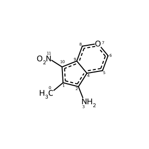 Cc1c(N)c2ccocc-2c1[N+](=O)[O-]